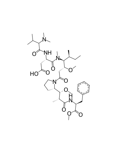 CC[C@H](C)[C@@H]([C@@H](CC(=O)N1CCC[C@H]1[C@H](OC)[C@@H](C)C(=O)N[C@@H](Cc1ccccc1)C(=O)OC)OC)N(C)C(=O)[C@H](CC(=O)O)NC(=O)C(C(C)C)N(C)C